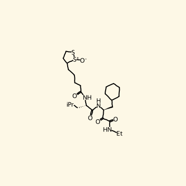 CCNC(=O)C(=O)[C@H](CC1CCCCC1)NC(=O)[C@H](CC(C)C)NC(=O)CCCCC1CCS[S+]1[O-]